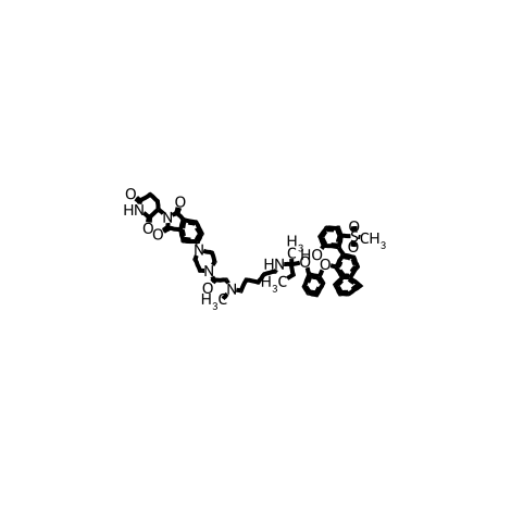 CCC(C)(NCCCCCN(C)CC(=O)N1CCN(c2ccc3c(c2)C(=O)N(C2CCC(=O)NC2=O)C3=O)CC1)Oc1ccccc1Oc1c(-c2c(O)cccc2S(C)(=O)=O)ccc2ccccc12